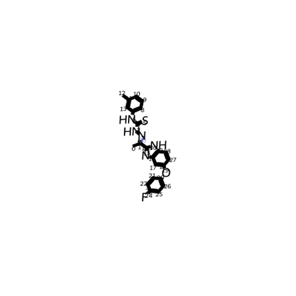 C/C(=N\NC(=S)Nc1cccc(C)c1)c1nc2cc(Oc3ccc(F)cc3)ccc2[nH]1